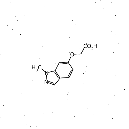 Cn1ncc2ccc(OCC(=O)O)cc21